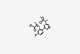 CCN(Cc1cc(F)ccc1-c1cncc(C(C)C(=O)OC)c1)C(=O)C1CC1